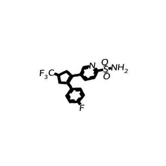 NS(=O)(=O)c1ccc(C2=C(c3ccc(F)cc3)CC(C(F)(F)F)C2)cn1